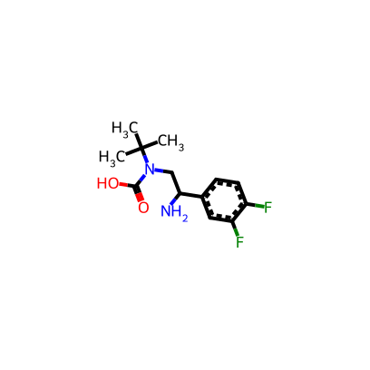 CC(C)(C)N(CC(N)c1ccc(F)c(F)c1)C(=O)O